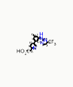 Cc1cc(Nc2nccc(C(F)(F)F)n2)cc(-c2ccc(CC(=O)O)nc2)c1